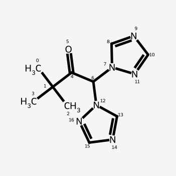 CC(C)(C)C(=O)C(n1cncn1)n1cncn1